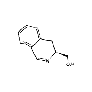 OC[C@@H]1Cc2ccccc2C=N1